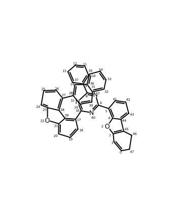 C1=Cc2oc3c(-c4nc(-c5ccccc5)nc(-c5cccc6oc7cccc(-c8ccc9ccccc9c8)c7c56)n4)cccc3c2CC1